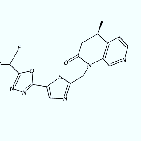 C[C@@H]1CC(=O)N(Cc2ncc(-c3nnc(C(F)F)o3)s2)c2cnccc21